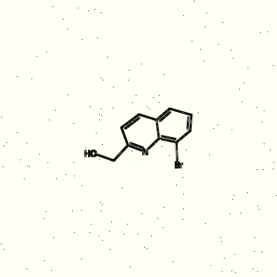 OCc1ccc2cccc(Br)c2n1